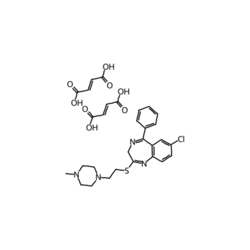 CN1CCN(CCSC2=Nc3ccc(Cl)cc3C(c3ccccc3)=NC2)CC1.O=C(O)C=CC(=O)O.O=C(O)C=CC(=O)O